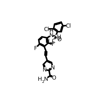 C[SH](=O)(Nc1ccc(F)c(C#Cc2cnc(C(N)=O)nc2)c1F)c1cc(Cl)ccc1Cl